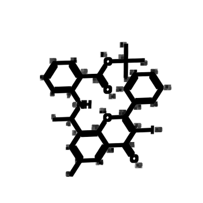 Cc1cc(C(C)Nc2ccccc2C(=O)OC(C)(C)C)c2oc(-c3ccccc3)c(I)c(=O)c2c1